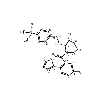 Cc1ccc(-c2nccs2)c(C(=O)N2CCC[C@@H](C)[C@H]2CNc2ccc(C(F)(F)F)cn2)c1